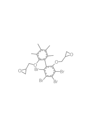 Cc1c(C)c(C)c(-c2c(Br)c(Br)c(Br)c(Br)c2OCC2CO2)c(OCC2CO2)c1C